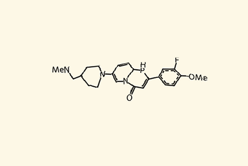 CNCC1CCN(C2=CN3C(=O)C=C(c4ccc(OC)c(F)c4)PC3C=C2)CC1